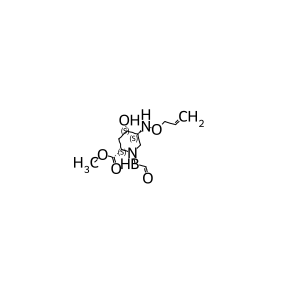 C=CCON[C@H]1CN(BC=O)[C@H](C(=O)OC)C[C@@H]1O